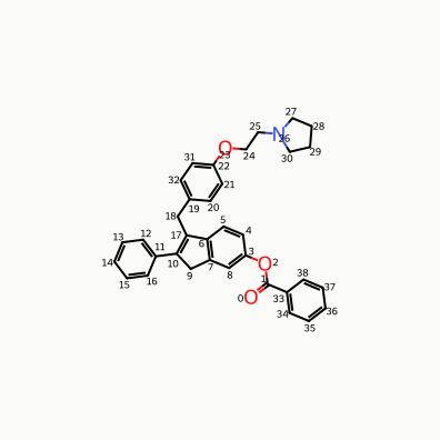 O=C(Oc1ccc2c(c1)CC(c1ccccc1)=C2Cc1ccc(OCCN2CCCC2)cc1)c1ccccc1